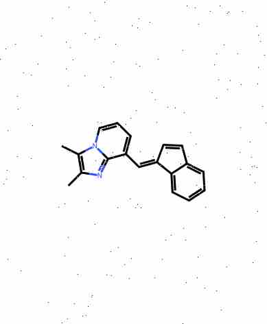 Cc1nc2c(C=C3C=Cc4ccccc43)cccn2c1C